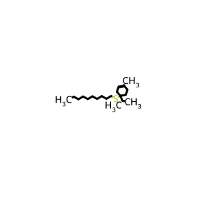 CCCCCCCCCCSC1(C(C)C)CC=C(C)CC1